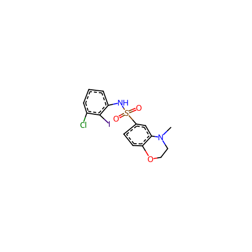 CN1CCOc2ccc(S(=O)(=O)Nc3cccc(Cl)c3I)cc21